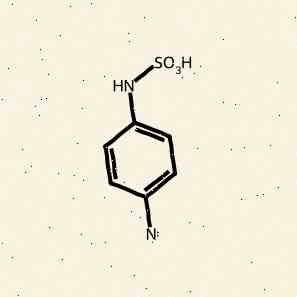 [N]c1ccc(NS(=O)(=O)O)cc1